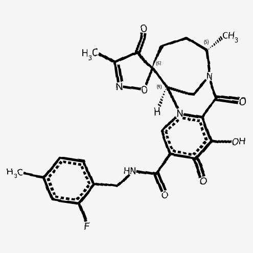 CC1=NO[C@]2(CC[C@H](C)N3C[C@H]2n2cc(C(=O)NCc4ccc(C)cc4F)c(=O)c(O)c2C3=O)C1=O